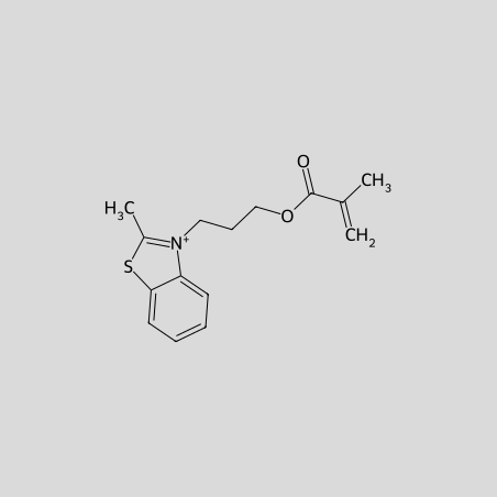 C=C(C)C(=O)OCCC[n+]1c(C)sc2ccccc21